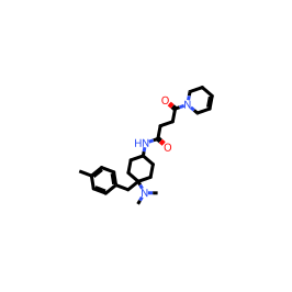 Cc1ccc(CC2(N(C)C)CCC(NC(=O)CCC(=O)N3CC=CCC3)CC2)cc1